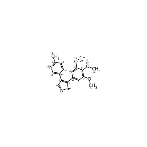 COc1cc(-c2sncc2-c2ccc(C)nc2)cc(OC)c1OC